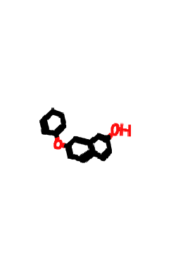 Oc1ccc2ccc(OC3=CC[CH]C=C3)cc2c1